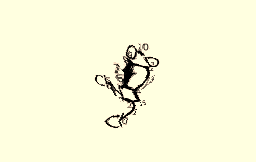 ClCC1=CN(Cl)C2=CC3OCOC3=CC2=C1